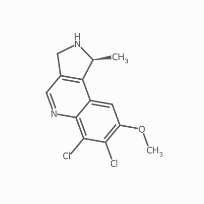 COc1cc2c3c(cnc2c(Cl)c1Cl)CN[C@H]3C